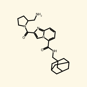 NCC1CCCN1C(=O)c1cn2c(C(=O)NCC34CC5CC(CC(C5)C3)C4)cccc2n1